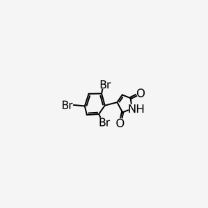 O=C1C=C(c2c(Br)cc(Br)cc2Br)C(=O)N1